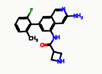 Cc1cccc(F)c1-c1cc(NC(=O)C2CNC2)c2cc(N)ncc2c1